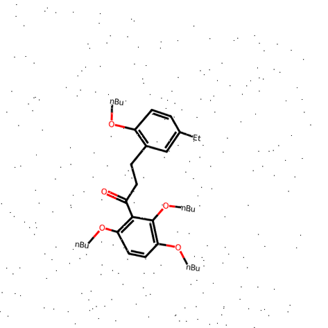 CCCCOc1ccc(CC)cc1CCC(=O)c1c(OCCCC)ccc(OCCCC)c1OCCCC